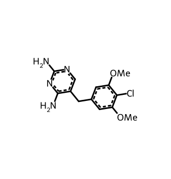 COc1cc(Cc2cnc(N)nc2N)cc(OC)c1Cl